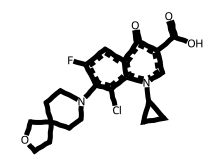 O=C(O)c1cn(C2CC2)c2c(Cl)c(N3CCC4(CCOC4)CC3)c(F)cc2c1=O